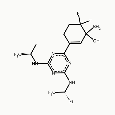 BC1(O)C=C(c2nc(N[C@H](C)C(F)(F)F)nc(N[C@H](CC)C(F)(F)F)n2)CCC1(F)F